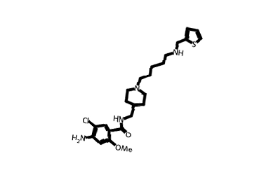 COc1cc(N)c(Cl)cc1C(=O)NCC1CCN(CCCCCNCc2cccs2)CC1